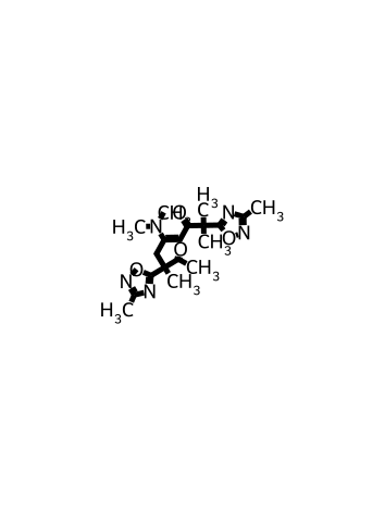 CC(=O)C(C)(CC(=CC(=O)C(C)(C)c1nc(C)no1)N(C)C)c1nc(C)no1